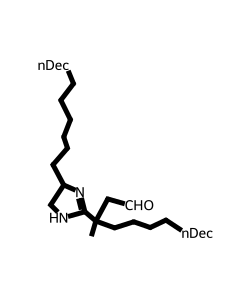 CCCCCCCCCCCCCCCCC1CNC(C(C)(CC=O)CCCCCCCCCCCCCC)=N1